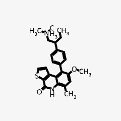 CCC(CN(C)C)c1ccc(-c2c(OC)cc(C)c3[nH]c(=O)c4sccc4c23)cc1